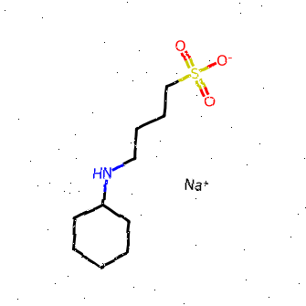 O=S(=O)([O-])CCCCNC1CCCCC1.[Na+]